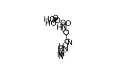 O=C1O[C@@H](COP(=O)(O)O)[C@@H]2Cc3cc(-c4ccc(CNCc5cnn[nH]5)nc4)ccc3N12